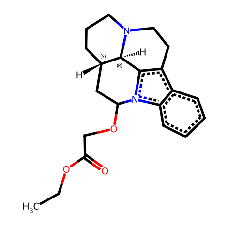 CCOC(=O)COC1C[C@@H]2CCCN3CCc4c(n1c1ccccc41)[C@@H]23